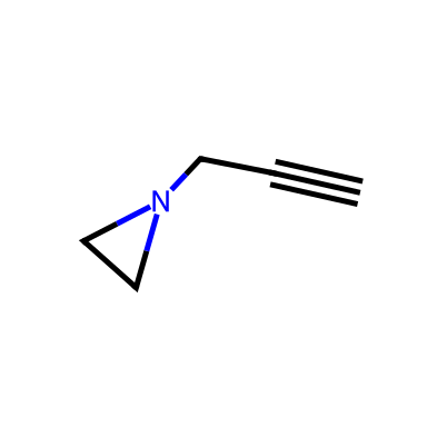 C#CCN1CC1